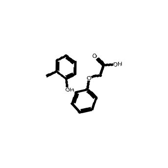 Cc1ccccc1O.O=C(O)COc1ccccc1